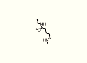 C=NNC(CC/C=N\NC)OC